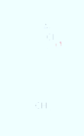 CC(=O)[C@H]1CCC2C3CCC4CC(C)CCC4C3CC(=O)[C@@]21C